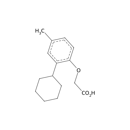 Cc1ccc(OCC(=O)O)c(C2CCCCC2)c1